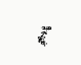 O=C(COC(c1cccnc1)c1cc2ccccc2o1)NCCCCNc1cccc2c1C(=O)N(C1CCC(=O)NC1=O)C2=O